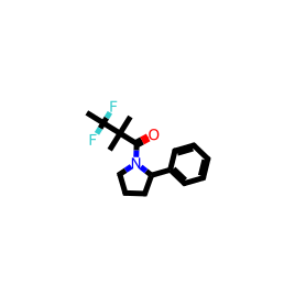 CC(F)(F)C(C)(C)C(=O)N1CCCC1c1ccccc1